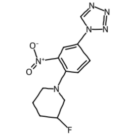 O=[N+]([O-])c1cc(-n2cnnn2)ccc1N1CCCC(F)C1